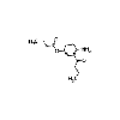 CCCC(=O)Oc1ccc(N)c(C(=O)CCC)c1